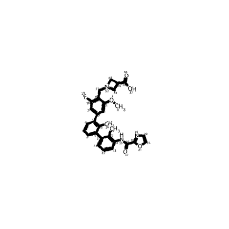 COc1cc(-c2cccc(-c3cccc(NC(=O)c4ncco4)c3C)c2C)cc(F)c1CN1CC(C(=O)O)C1